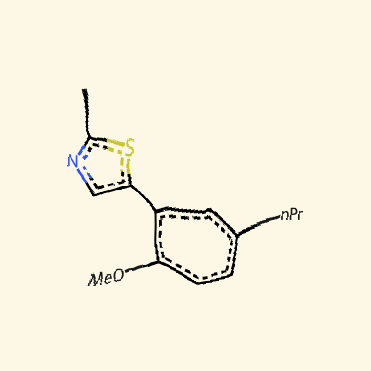 CCCc1ccc(OC)c(-c2cnc(C)s2)c1